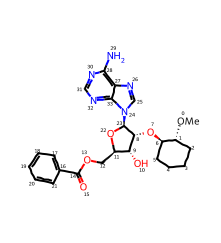 CO[C@@H]1CCCC[C@H]1O[C@@H]1[C@H](O)[C@@H](COC(=O)c2ccccc2)O[C@H]1n1cnc2c(N)ncnc21